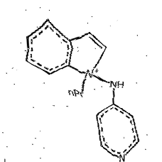 CCC[N+]1(Nc2ccncc2)C=Cc2ccccc21